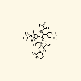 CCC(CC)C(NC(=O)C(F)F)C(=O)N1C[C@H]2[C@@H]([C@H]1C(=O)NN(C[C@@H]1CCCNC1=O)C(=O)C(F)Cl)C2(C)C